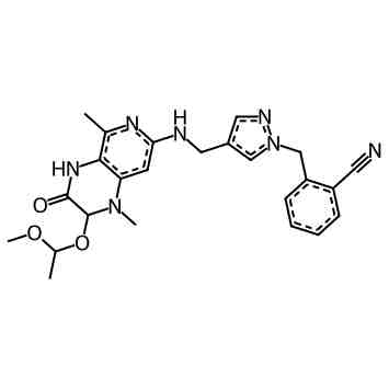 COC(C)OC1C(=O)Nc2c(cc(NCc3cnn(Cc4ccccc4C#N)c3)nc2C)N1C